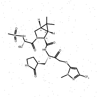 Cn1nc(C(F)(F)F)cc1OCC(=O)[C@H](C[C@@H]1CCNC1=O)NC(=O)[C@@H]1[C@@H]2[C@H](CN1C(=O)[C@@H](NS(C)(=O)=O)C(C)(C)C)C2(C)C